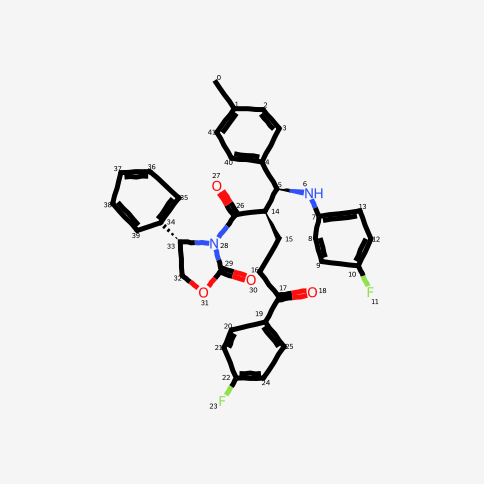 Cc1ccc([C@@H](Nc2ccc(F)cc2)[C@@H](CCC(=O)c2ccc(F)cc2)C(=O)N2C(=O)OC[C@@H]2c2ccccc2)cc1